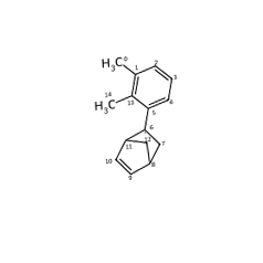 Cc1cccc([C]2CC3C=CC2C3)c1C